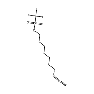 [N-]=[N+]=NCCCCCCCOS(=O)(=O)C(F)(F)F